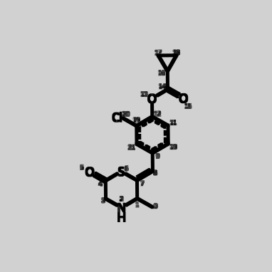 CC1NCC(=O)S/C1=C\c1ccc(OC(=O)C2CC2)c(Cl)c1